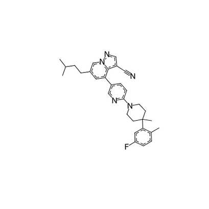 Cc1ccc(F)cc1C1(C)CCN(c2ccc(-c3cc(CCC(C)C)cn4ncc(C#N)c34)cn2)CC1